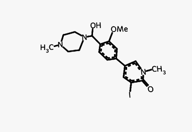 COc1cc(-c2cc(I)c(=O)n(C)c2)ccc1C(O)N1CCN(C)CC1